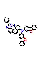 c1ccc(-c2nc3ccc4ccc5c(N(c6ccc7c(c6)oc6ccccc67)c6ccc7c(c6)oc6ccccc67)cccc5c4c3[nH]2)cc1